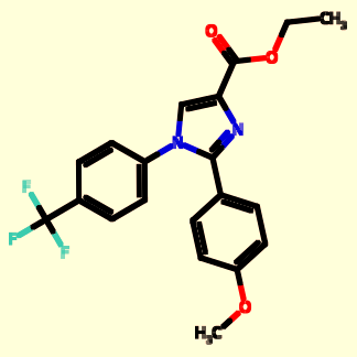 CCOC(=O)c1cn(-c2ccc(C(F)(F)F)cc2)c(-c2ccc(OC)cc2)n1